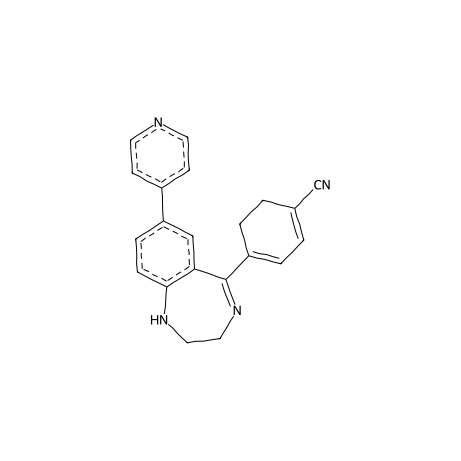 N#CC1=CC=C(C2=NCCNc3ccc(-c4ccncc4)cc32)CC1